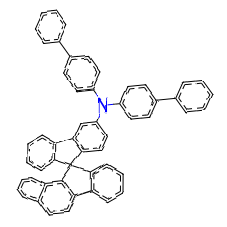 c1ccc(-c2ccc(N(c3ccc(-c4ccccc4)cc3)c3ccc4c(c3)-c3ccccc3C43c4ccccc4-c4ccc5ccccc5c43)cc2)cc1